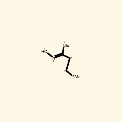 CSCCC(=NO)C(C)(C)C